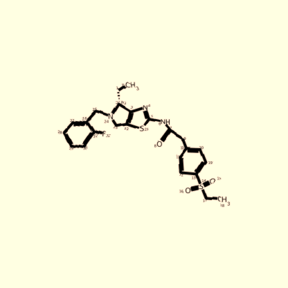 CC[C@@H]1c2nc(NC(=O)Cc3ccc(S(=O)(=O)CC)cc3)sc2CN1Cc1ccccc1F